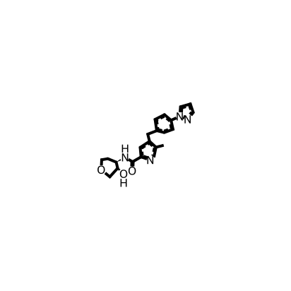 Cc1cnc(C(=O)N[C@H]2CCOC[C@@H]2O)cc1Cc1ccc(-n2cccn2)cc1